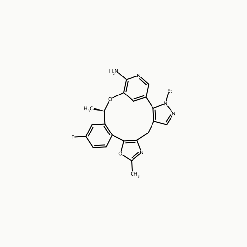 CCn1ncc2c1-c1cnc(N)c(c1)O[C@H](C)c1cc(F)ccc1-c1oc(C)nc1C2